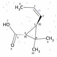 C/C=C\[C@@H]1[C@@H](C(=O)O)C1(C)C